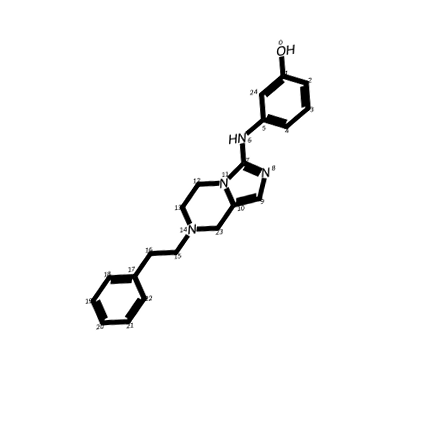 Oc1cccc(Nc2ncc3n2CCN(CCc2ccccc2)C3)c1